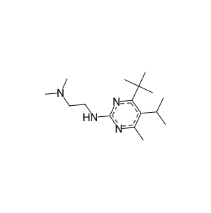 Cc1nc(NCCN(C)C)nc(C(C)(C)C)c1C(C)C